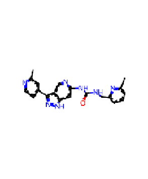 Cc1cc(-c2n[nH]c3cc(NC(=O)NCc4cccc(C)n4)ncc23)ccn1